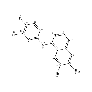 Nc1cc2ncnc(Nc3ccc(F)c(Cl)c3)c2cc1Br